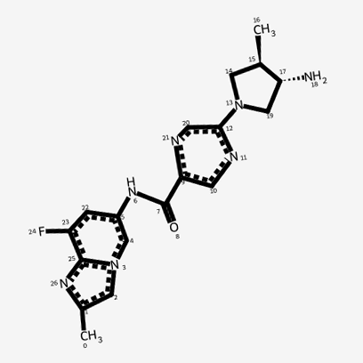 Cc1cn2cc(NC(=O)c3cnc(N4C[C@@H](C)[C@H](N)C4)cn3)cc(F)c2n1